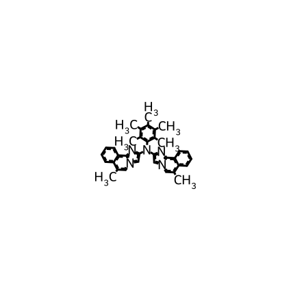 Cc1c(C)c(C)c(N(c2cn3cc(C)c4ccccc4c3n2)c2cn3cc(C)c4ccccc4c3n2)c(C)c1C